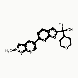 [2H][C@](O)(c1cc2ccc(-c3cnc4nn(C)cc4c3)nc2s1)C1CCOCC1